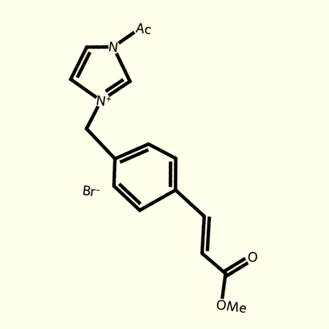 COC(=O)C=Cc1ccc(C[n+]2ccn(C(C)=O)c2)cc1.[Br-]